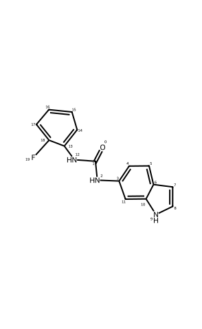 O=C(Nc1ccc2cc[nH]c2c1)Nc1ccccc1F